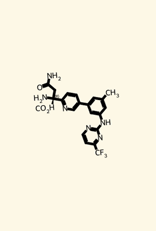 Cc1cc(Nc2nccc(C(F)(F)F)n2)cc(-c2ccc([C@](N)(CC(N)=O)C(=O)O)nc2)c1